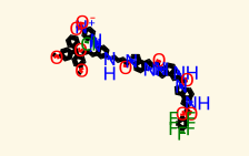 COc1ccc(C(OCCCc2cc(NCCCC(=O)N3CCc4c3ccc3[nH]c(C(=O)N5CCc6c5ccc5[nH]c(C(=O)N7CCc8c7ccc7[nH]c(C(=O)Oc9c(F)c(F)c(F)c(F)c9F)cc87)cc65)cc43)ccc2N=Nc2ccc([N+](=O)[O-])cc2Cl)(c2ccccc2)c2ccc(OC)cc2)cc1